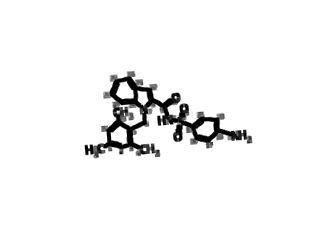 Cc1cc(C)c(Cn2c(C(=O)NS(=O)(=O)c3ccc(N)cc3)cc3ccccc32)c(C)c1